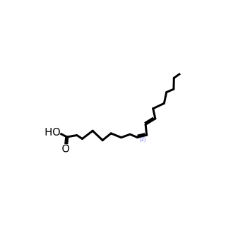 CCCCCCC=C/C=C\CCCCCCCC(=O)O